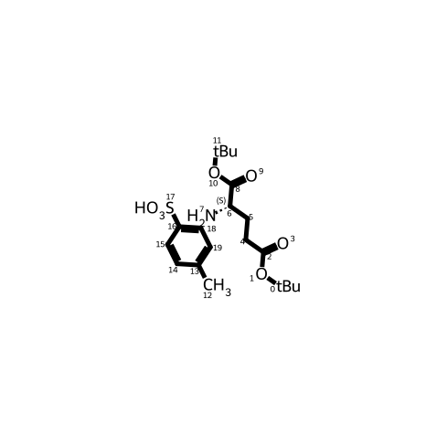 CC(C)(C)OC(=O)CC[C@H](N)C(=O)OC(C)(C)C.Cc1ccc(S(=O)(=O)O)cc1